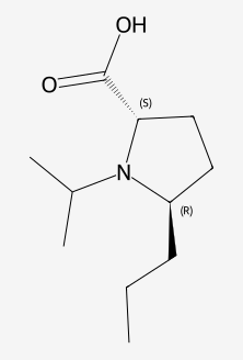 CCC[C@@H]1CC[C@@H](C(=O)O)N1C(C)C